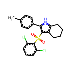 Cc1ccc(-c2[nH]c3c(c2S(=O)(=O)c2c(Cl)cccc2Cl)CCCC3)cc1